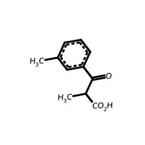 Cc1cccc(C(=O)C(C)C(=O)O)c1